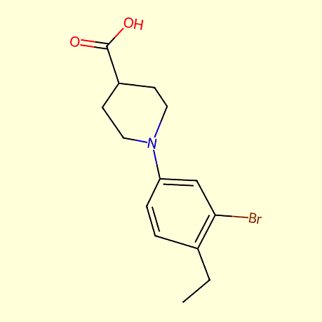 CCc1ccc(N2CCC(C(=O)O)CC2)cc1Br